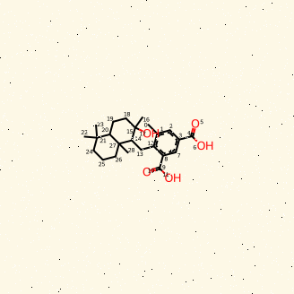 Cc1cc(C(=O)O)cc(C(=O)O)c1CC1C(C)(O)CCC2C(C)(C)CCCC21C